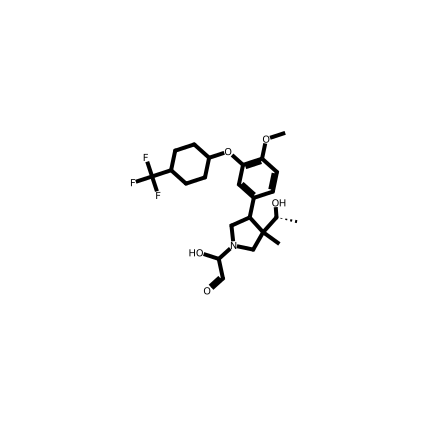 COc1ccc(C2CN(C(O)C=O)CC2(C)[C@@H](C)O)cc1OC1CCC(C(F)(F)F)CC1